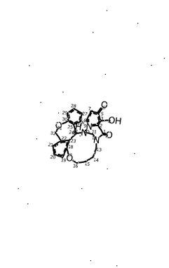 O=C1c2c(O)c(=O)ccn2N2CN1CCCCOc1cccc3c1[C@H]2c1ccccc1OC3